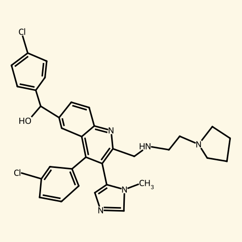 Cn1cncc1-c1c(CNCCN2CCCC2)nc2ccc(C(O)c3ccc(Cl)cc3)cc2c1-c1cccc(Cl)c1